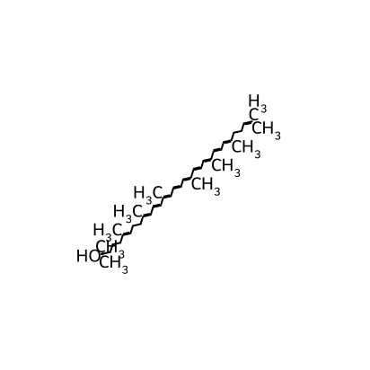 CC(C)=CCC/C(C)=C/C=C/C(C)=C/C=C/C(C)=C/C=C/C=C(C)/C=C/C=C(\C)CC/C=C(\C)CCCC(C)(C)O